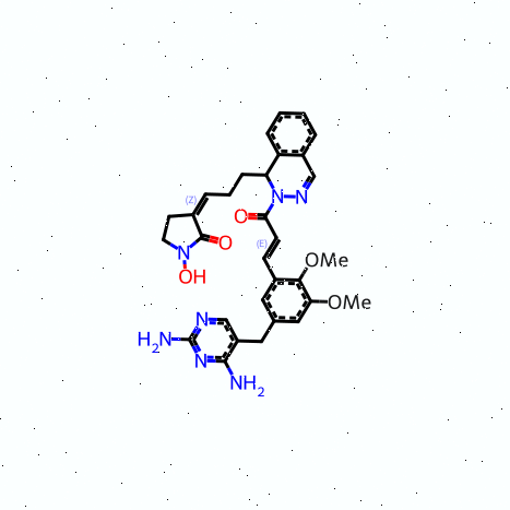 COc1cc(Cc2cnc(N)nc2N)cc(/C=C/C(=O)N2N=Cc3ccccc3C2CC/C=C2/CCN(O)C2=O)c1OC